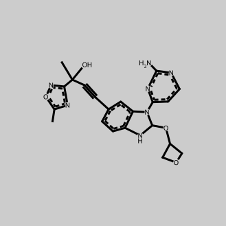 Cc1nc(C(C)(O)C#Cc2ccc3c(c2)N(c2ccnc(N)n2)C(OC2COC2)N3)no1